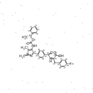 Cc1c(NC(=O)O[C@H](C)c2ccccc2)c(-c2ccc(C(=O)N[C@H](Cc3ccc(F)cc3)C(=O)O)cc2)nn1C